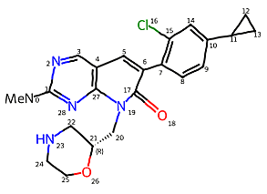 CNc1ncc2cc(-c3ccc(C4CC4)cc3Cl)c(=O)n(C[C@H]3CNCCO3)c2n1